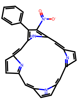 O=[N+]([O-])c1c(-c2ccccc2)c2cc3nc(cc4ccc(cc5nc(cc1[nH]2)C=C5)[nH]4)C=C3